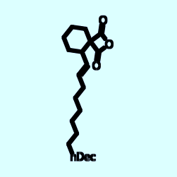 CCCCCCCCCCCCCCCCC=CC1CCCCC12C(=O)OC2=O